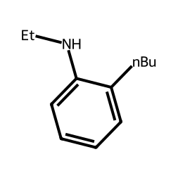 CCCCc1ccccc1NCC